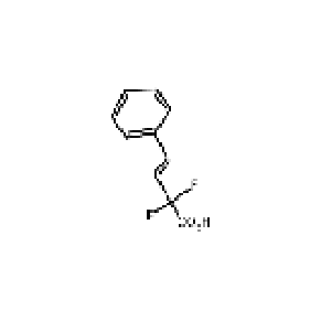 O=C(O)C(F)(F)/C=C/c1ccccc1